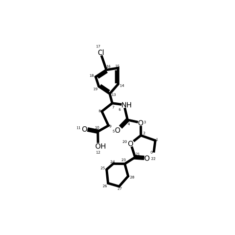 CCC(OC(=O)NC(CCC(=O)O)c1ccc(Cl)cc1)OC(=O)C1CCCCC1